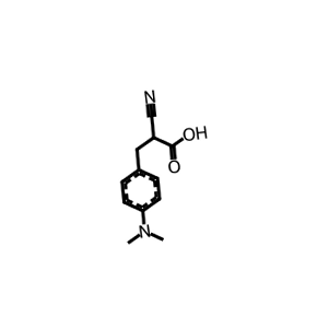 CN(C)c1ccc(CC(C#N)C(=O)O)cc1